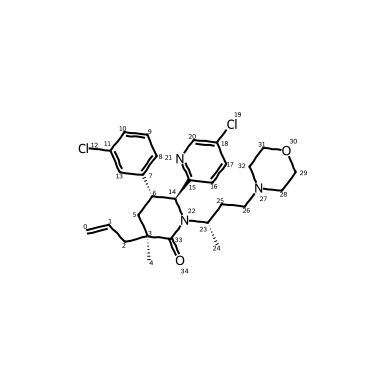 C=CC[C@@]1(C)C[C@H](c2cccc(Cl)c2)[C@@H](c2ccc(Cl)cn2)N([C@@H](C)CCN2CCOCC2)C1=O